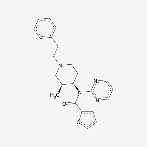 C[C@H]1CN(CCc2ccccc2)CC[C@H]1N(C(=O)c1ccco1)c1ncccn1